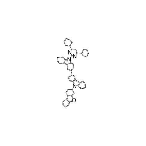 c1ccc(-c2cc(-c3ccccc3)nc(-n3c4ccccc4c4cc(-c5ccc6c(c5)c5ccccc5n6-c5ccc6c(c5)oc5ccccc56)ccc43)n2)cc1